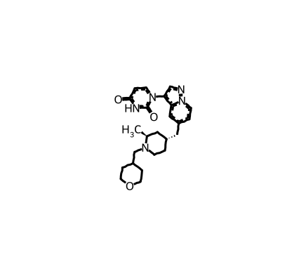 C[C@H]1C[C@H](Cc2ccn3ncc(-n4ccc(=O)[nH]c4=O)c3c2)CCN1CC1CCOCC1